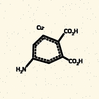 Nc1ccc(C(=O)O)c(C(=O)O)c1.[Cu]